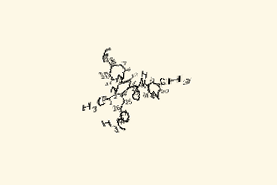 CCc1nc(N2CCC(F)CC2)cc(C(=O)Nc2cncc(C)c2)c1CCOC